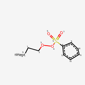 CCCCCCCCCOOS(=O)(=O)c1ccccc1